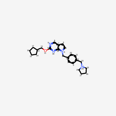 c1cc(Cn2ccc3cnc(OCC4CCCC4)nc32)ccc1CN1CCCC1